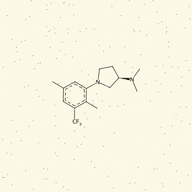 Cc1cc(N2CC[C@@H](N(C)C)C2)c(C)c(C(F)(F)F)c1